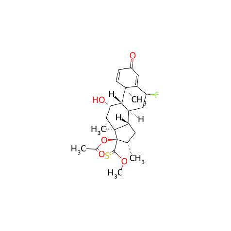 COC(=S)[C@@]1(OC(C)=O)[C@@H](C)C[C@H]2[C@@H]3C[C@H](F)C4=CC(=O)C=C[C@]4(C)[C@H]3[C@@H](O)C[C@@]21C